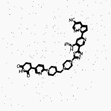 CC(C)Nc1cc(-c2ccc3cc(C#N)cnn23)ncc1-c1nnc(N2CCN(CC3CCN(c4ccc(C5CCC(=O)NC5=O)cn4)CC3)CC2)s1